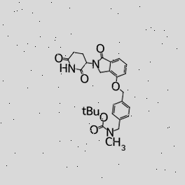 CN(Cc1ccc(COc2cccc3c2CN(C2CCC(=O)NC2=O)C3=O)cc1)C(=O)OC(C)(C)C